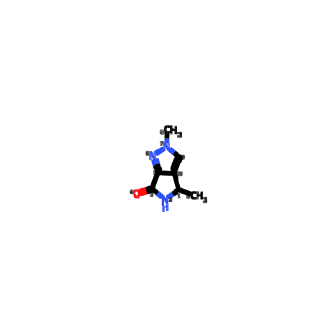 CC1NC(=O)c2nn(C)cc21